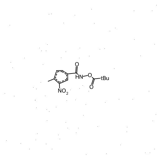 Cc1ccc(C(=O)NOC(=O)C(C)(C)C)cc1[N+](=O)[O-]